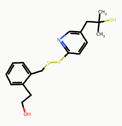 CC(C)(S)Cc1ccc(SSCc2ccccc2CCO)nc1